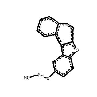 OBOc1ccc2oc3ccc4ccccc4c3c2c1